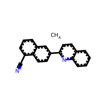 C.N#Cc1cccc2cc(-c3ccc4ccccc4n3)ccc12